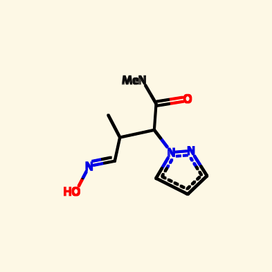 CNC(=O)C(C(C)C=NO)n1cccn1